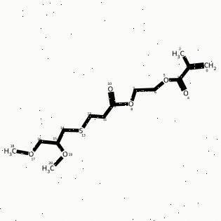 C=C(C)C(=O)OCCOC(=O)CCSCC(COC)OC